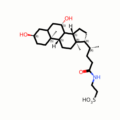 C[C@H](CCC(=O)NCCS(=O)(=O)O)[C@H]1CC[C@H]2C3[C@@H](O)CC4C[C@H](O)CC[C@]4(C)[C@H]3CC[C@]12C